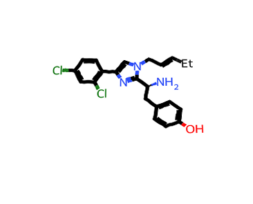 CCC=CCn1cc(-c2ccc(Cl)cc2Cl)nc1[C@@H](N)Cc1ccc(O)cc1